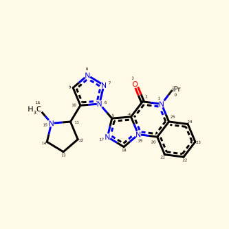 CC(C)n1c(=O)c2c(-n3nncc3C3CCCN3C)ncn2c2ccccc21